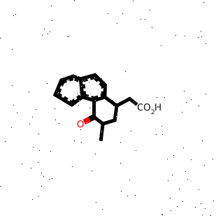 CC1CC(CC(=O)O)c2ccc3ccccc3c2C1=O